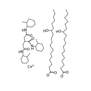 CC1CCCCC1NC(=O)CC(CC(=O)NC1CCCCC1C)C(=O)NC1CCCCC1C.CCCCCCC(O)CCCCCCCCCCC(=O)[O-].CCCCCCC(O)CCCCCCCCCCC(=O)[O-].[Ca+2]